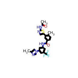 CC(=O)Nc1ncc(-c2cc(C(=O)Nc3cc(-n4cnc(C)c4)cc(C(F)(F)F)c3)ccc2C)s1